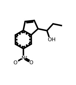 CCC(O)C1C=Cc2ccc([N+](=O)[O-])cc21